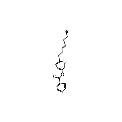 O=C(Oc1ccc(CCC=CCCBr)cc1)c1ccccc1